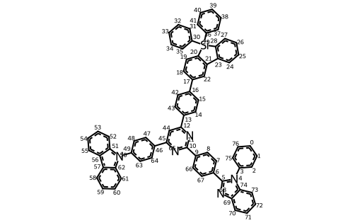 c1ccc(-n2c(-c3ccc(-c4nc(-c5ccc(-c6ccc7c(c6)-c6ccccc6[Si]7(c6ccccc6)c6ccccc6)cc5)cc(-c5ccc(-n6c7ccccc7c7ccccc76)cc5)n4)cc3)nc3ccccc32)cc1